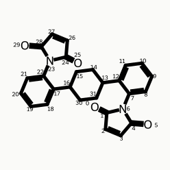 O=C1C=CC(=O)N1c1ccccc1C1CCC(c2ccccc2N2C(=O)C=CC2=O)CC1